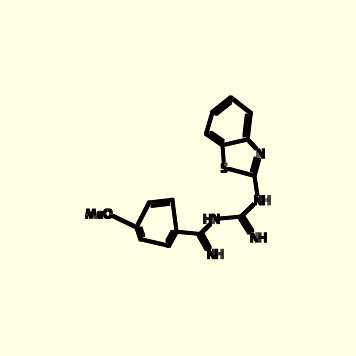 COc1ccc(C(=N)NC(=N)Nc2nc3ccccc3s2)cc1